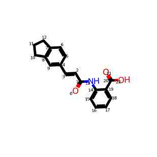 O=C(/C=C/c1ccc2c(c1)CCC2)Nc1ccccc1C(=O)O